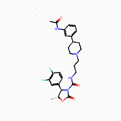 CC(=O)Nc1cccc(C2CCN(CCCNC(=O)N3C(=O)O[C@H](C)[C@H]3c3ccc(F)c(F)c3)CC2)c1